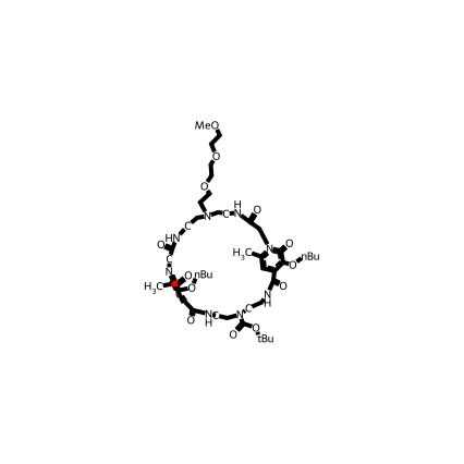 CCCCOc1c2cc(C)n(c1=O)CC(=O)NCCN(CCOCCOCCOC)CCNC(=O)Cn1c(C)cc(c(OCCCC)c1=O)C(=O)NCCN(C(=O)OC(C)(C)C)CCNC2=O